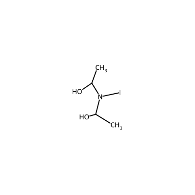 CC(O)N(I)C(C)O